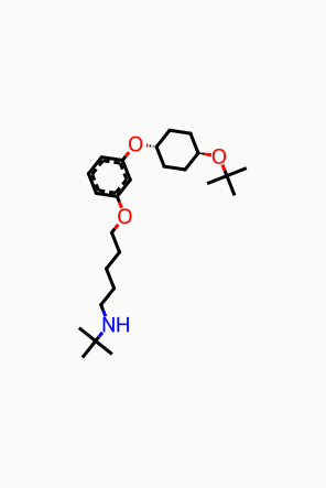 CC(C)(C)NCCCCCOc1cccc(O[C@H]2CC[C@H](OC(C)(C)C)CC2)c1